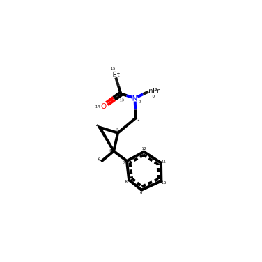 CCCN(CC1CC1(C)c1ccccc1)C(=O)CC